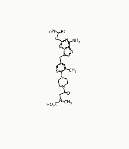 CCCC(CC)Oc1nc(N)c2ncc(Cc3cnc(N4CCN(C(=O)CN(C)C(=O)O)CC4)c(C)c3)n2n1